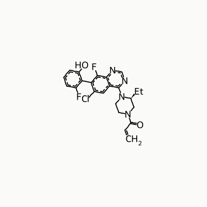 C=CC(=O)N1CCN(c2ncnc3c(F)c(-c4c(O)cccc4F)c(Cl)cc23)[C@@H](CC)C1